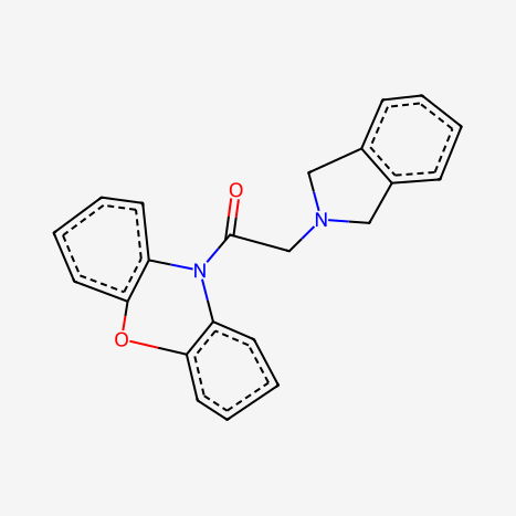 O=C(CN1Cc2ccccc2C1)N1c2ccccc2Oc2ccccc21